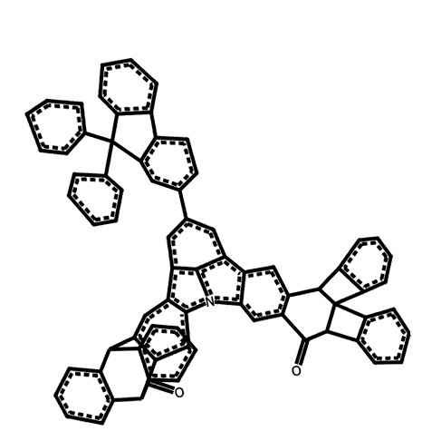 O=C1c2cc3c(cc2C2c4ccccc4C1c1ccccc12)c1cc(-c2ccc4c(c2)C(c2ccccc2)(c2ccccc2)c2ccccc2-4)cc2c4cc5c(cc4n3c12)C(=O)C1c2ccccc2C12c1ccccc1C52